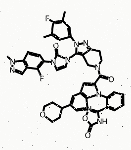 Cc1cc(-n2nc3c(c2-n2ccn(-c4ccc5c(cnn5C)c4F)c2=O)CN(C(=O)c2cc4cc(C5CCOCC5)ccc4n2-c2ccccc2-c2noc(=O)[nH]2)CC3)cc(C)c1F